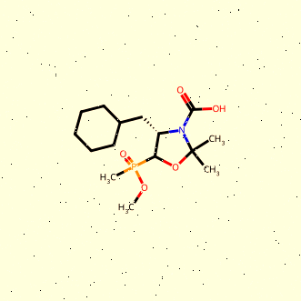 COP(C)(=O)C1OC(C)(C)N(C(=O)O)[C@H]1CC1CCCCC1